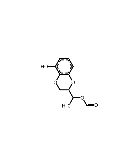 CC(OC=O)C1COc2c(O)cccc2O1